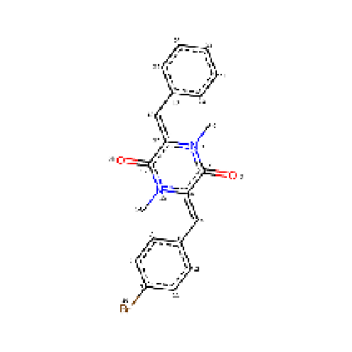 Cn1c(=O)c(=Cc2ccc(Br)cc2)n(C)c(=O)c1=Cc1ccccc1